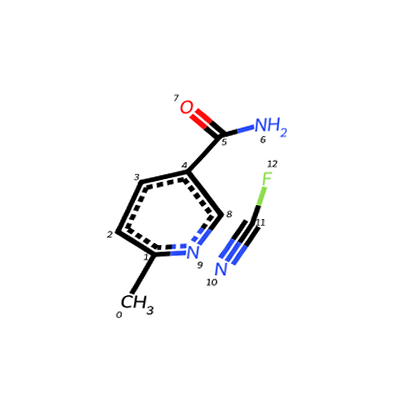 Cc1ccc(C(N)=O)cn1.N#CF